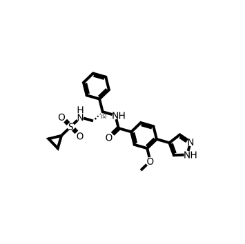 COc1cc(C(=O)N[C@H](CNS(=O)(=O)C2CC2)c2ccccc2)ccc1-c1cn[nH]c1